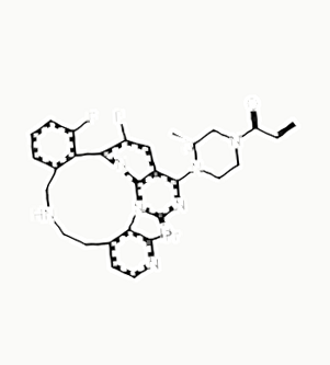 C=CC(=O)N1CCN(c2nc(=O)n3c4nc(c(F)cc24)-c2c(F)cccc2CNCCc2ccnc(C(C)C)c2-3)[C@@H](C)C1